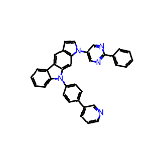 c1ccc(-c2ncc(-n3ccc4cc5c6ccccc6n(-c6ccc(-c7cccnc7)cc6)c5cc43)cn2)cc1